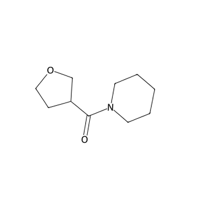 O=C(C1CCOC1)N1CCCCC1